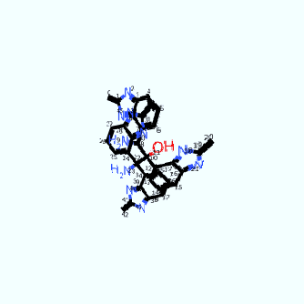 C=C1N=c2cccc(C(N)C(O)(c3cccc4c3=NC(=C)N=4)C(N)(c3cccc4c3=NC(=C)N=4)c3cccc4c3=NC(=C)N=4)c2=N1